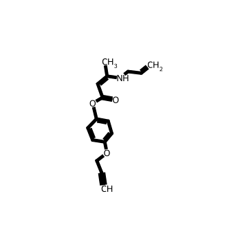 C#CCOc1ccc(OC(=O)C=C(C)NCC=C)cc1